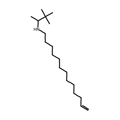 C=CCCCCCCCCCCCNC(C)C(C)(C)C